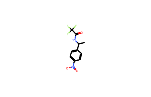 CC(NC(=O)C(F)(F)F)c1ccc([N+](=O)[O-])cc1